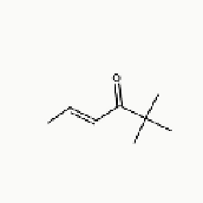 CC=CC(=O)C(C)(C)C